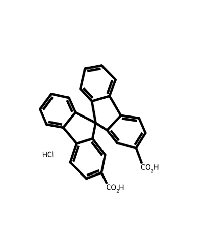 Cl.O=C(O)c1ccc2c(c1)C1(c3ccccc3-2)c2ccccc2-c2ccc(C(=O)O)cc21